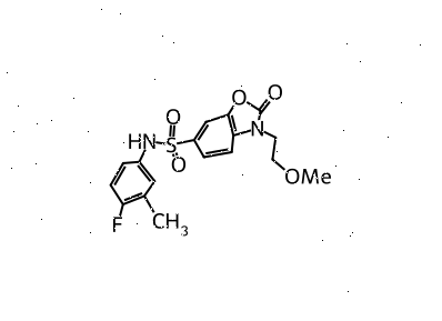 COCCn1c(=O)oc2cc(S(=O)(=O)Nc3ccc(F)c(C)c3)ccc21